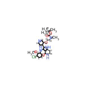 COc1c(Cl)cccc1Nc1c(-c2ccncc2OCCN(C)C(=O)OC(C)(C)C)[nH]c2c1C(=O)NCC2